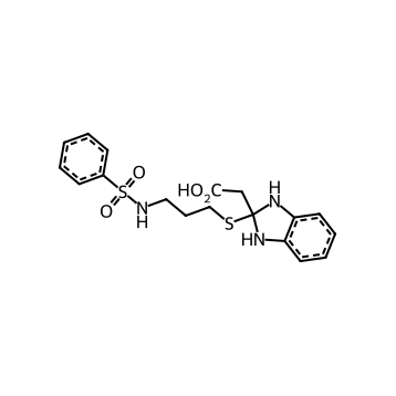 O=C(O)CC1(SCCCNS(=O)(=O)c2ccccc2)Nc2ccccc2N1